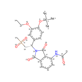 [2H][13C]([2H])([2H])Oc1ccc([C@@H](CS(C)(=O)=O)N2C(=O)c3cccc(NC(C)=O)c3C2=O)cc1OCC